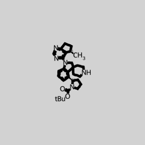 C[C@@H]1CCc2ncnc(N3CC4(CCNCC4)c4c([C@H]5CCCN5C(=O)OC(C)(C)C)cccc43)c21